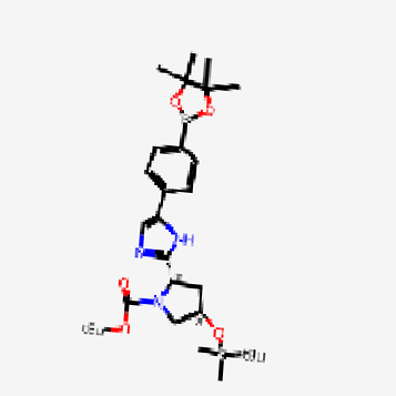 CC(C)(C)OC(=O)N1C[C@H](O[Si](C)(C)C(C)(C)C)C[C@H]1c1ncc(-c2ccc(B3OC(C)(C)C(C)(C)O3)cc2)[nH]1